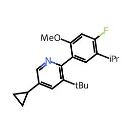 COc1cc(F)c(C(C)C)cc1-c1ncc(C2CC2)cc1C(C)(C)C